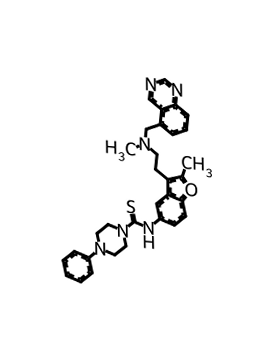 Cc1oc2ccc(NC(=S)N3CCN(c4ccccc4)CC3)cc2c1CCN(C)Cc1cccc2ncncc12